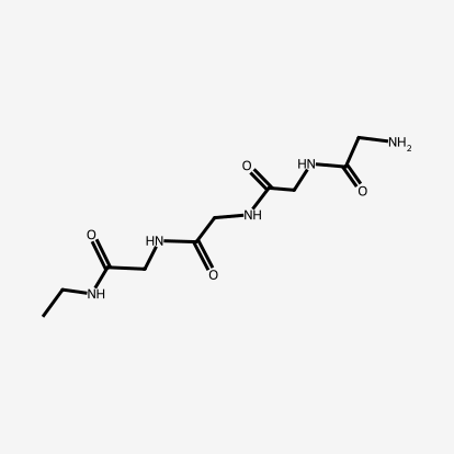 CCNC(=O)CNC(=O)CNC(=O)CNC(=O)CN